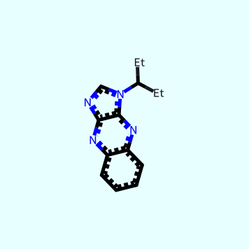 CCC(CC)n1cnc2nc3ccccc3nc21